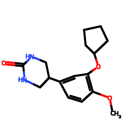 COc1ccc(C2CNC(=O)NC2)cc1OC1CCCC1